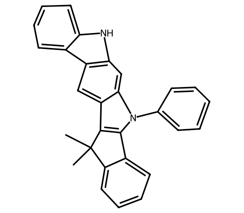 CC1(C)c2ccccc2-c2c1c1cc3c(cc1n2-c1ccccc1)[nH]c1ccccc13